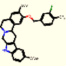 COc1ccc2[nH]c3c(c2c1)CC1c2cc(OCc4ccc(C(F)(F)F)c(F)c4)c(OC)cc2CCN1C3